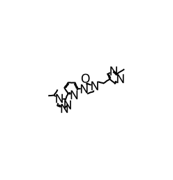 Cc1ncc(CCN2CCN(c3cccc(-c4nncn4C(C)C)n3)C2=O)cn1